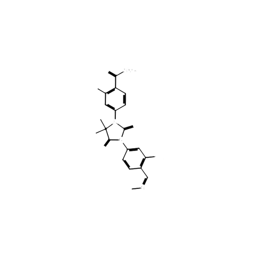 C/N=C\c1ccc(N2C(=O)C(C)(C)N(c3ccc(C(=O)NC)c(F)c3)C2=S)cc1C(F)(F)F